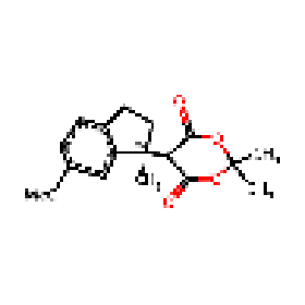 COc1ccc2c(c1)[C@](C)(C1C(=O)OC(C)(C)OC1=O)CC2